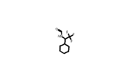 O=CNC(C1CCCCC1)C(F)(F)F